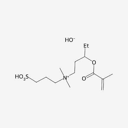 C=C(C)C(=O)OC(CC)CC[N+](C)(C)CCCS(=O)(=O)O.[OH-]